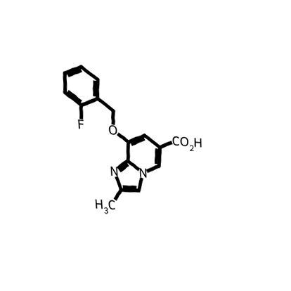 Cc1cn2cc(C(=O)O)cc(OCc3ccccc3F)c2n1